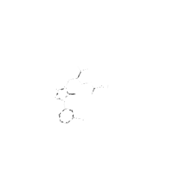 NC(=O)OCC(Cn1nnn(-c2cccc(Br)c2)c1=O)=C(F)F